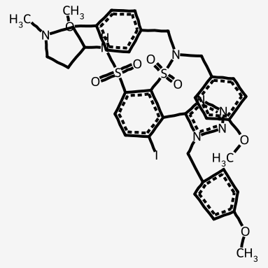 COc1ccc(CN(Cc2ccc(OC)cc2)S(=O)(=O)c2c(S(=O)(=O)NC3CCN(C)C3)ccc(I)c2-c2nnnn2Cc2ccc(OC)cc2)cc1